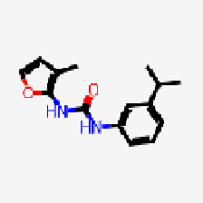 Cc1ccoc1NC(=O)Nc1cccc(C(C)C)c1